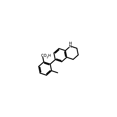 Cc1cccc(C(=O)O)c1-c1ccc2c(c1)CCCN2